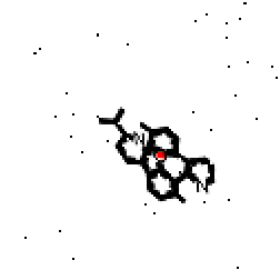 Cc1ccc(-c2cccnc2-c2c(C)ccc3c2oc2nc(C(C)C)ccc23)cc1